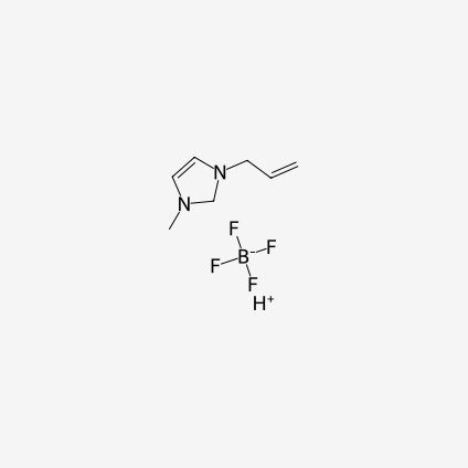 C=CCN1C=CN(C)C1.F[B-](F)(F)F.[H+]